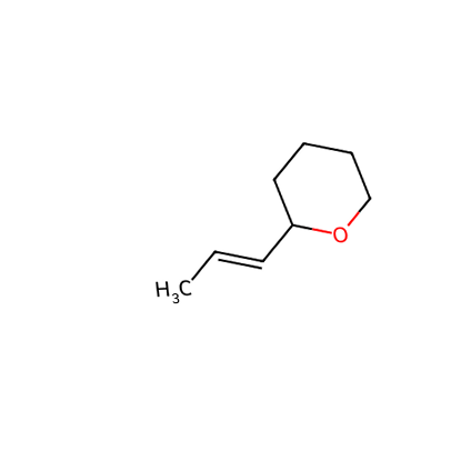 C/C=C/C1CCCCO1